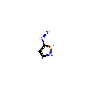 [N]=Nc1ccns1